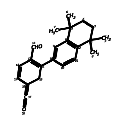 CC1(C)CCC(C)(C)c2cc(C3=C(C=O)C=CC(=C=O)C3)ccc21